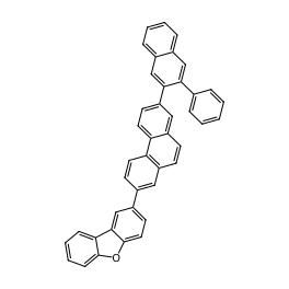 c1ccc(-c2cc3ccccc3cc2-c2ccc3c(ccc4cc(-c5ccc6oc7ccccc7c6c5)ccc43)c2)cc1